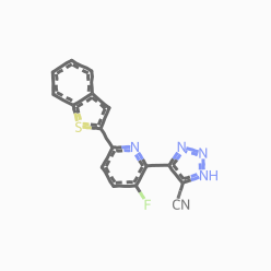 N#Cc1[nH]nnc1-c1nc(-c2cc3ccccc3s2)ccc1F